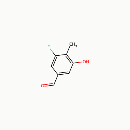 Cc1c(O)cc(C=O)cc1F